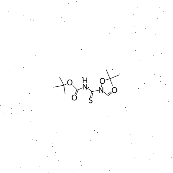 CC(C)(C)OC(=O)NC(=S)N(C=O)OC(C)(C)C